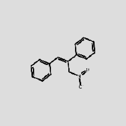 O=[N+]([O-])CC(=Cc1ccccc1)c1ccccc1